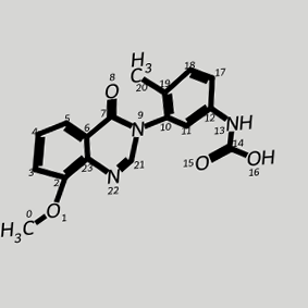 COc1cccc2c(=O)n(-c3cc(NC(=O)O)ccc3C)cnc12